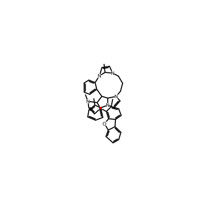 Cc1ccccc1N1C=CN2CCCN3C=CN(c4ccccc4C(C4N(C)C=CN4c4c(C)ccc5c4oc4ccccc45)C21)C3C